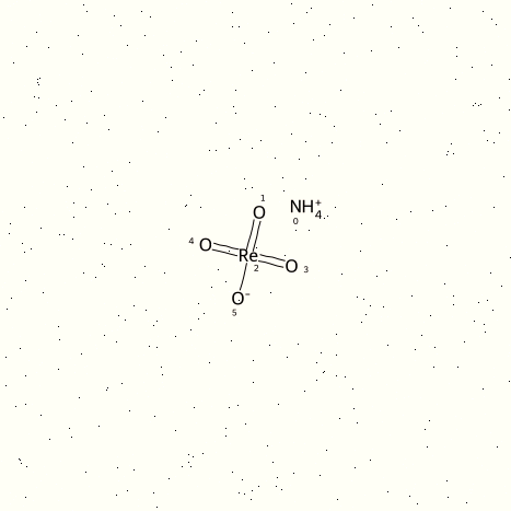 [NH4+].[O]=[Re](=[O])(=[O])[O-]